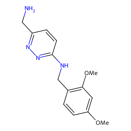 COc1ccc(CNc2ccc(CN)nn2)c(OC)c1